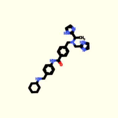 CC(c1ncc[nH]1)N(Cc1ccc(C(=O)Nc2ccc(CNC3CCCCC3)cc2)cc1)Cc1ncc[nH]1